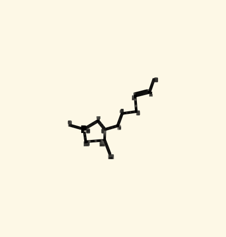 CC=CCCCC1CP(C)CC1C